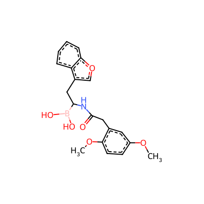 COc1ccc(OC)c(CC(=O)NC(Cc2coc3ccccc23)B(O)O)c1